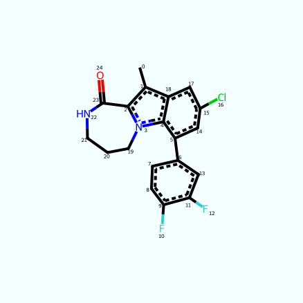 Cc1c2n(c3c(-c4ccc(F)c(F)c4)cc(Cl)cc13)CCCNC2=O